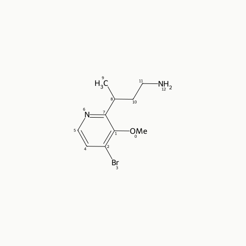 COc1c(Br)ccnc1C(C)CCN